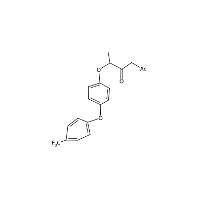 CC(=O)CC(=O)C(C)Oc1ccc(Oc2ccc(C(F)(F)F)cc2)cc1